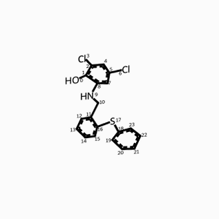 Oc1c(Cl)cc(Cl)cc1NCc1ccccc1Sc1ccccc1